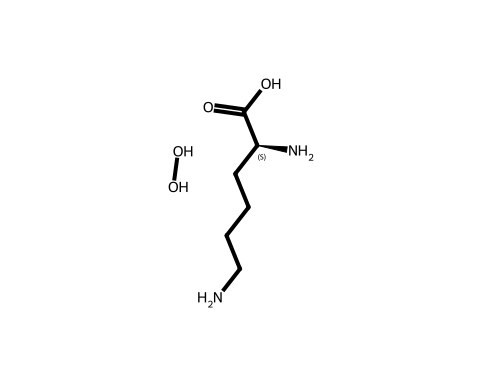 NCCCC[C@H](N)C(=O)O.OO